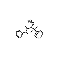 CC(c1ccccc1)C(C)C(OO)C(C)(C)C1CC2CCC1C2